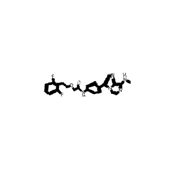 CNc1nccn2c(-c3ccc(NC(=O)COCCc4c(F)cccc4F)cc3)cnc12